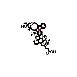 CC[C@]1(O)C[C@H]2CN(CCc3c([nH]c4ccccc34)[C@@](C(=O)OC)(c3cc4c(cc3OC)N(C)C3[C@]45CCN4CC=C[C@](CC)(C45)[C@@H](CC(=O)CCC(=O)O)[C@]3(O)C(=O)OC)C2)C1